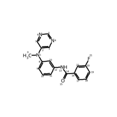 CN(c1cncnc1)c1cccc(NC(=O)c2cccc(F)c2)c1